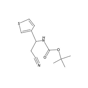 CC(C)(C)OC(=O)NC(CC#N)c1ccsc1